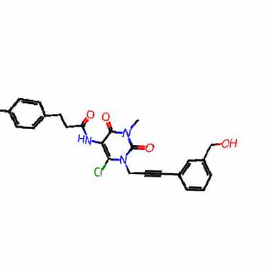 Cc1ccc(CCC(=O)Nc2c(Cl)n(CC#Cc3cccc(CO)c3)c(=O)n(C)c2=O)cc1